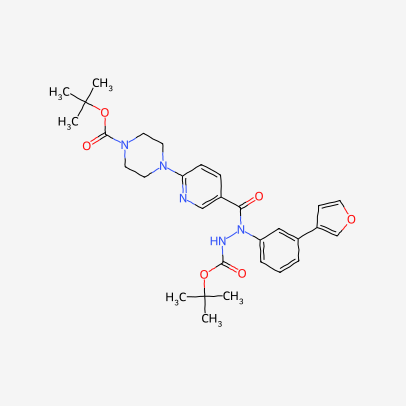 CC(C)(C)OC(=O)NN(C(=O)c1ccc(N2CCN(C(=O)OC(C)(C)C)CC2)nc1)c1cccc(-c2ccoc2)c1